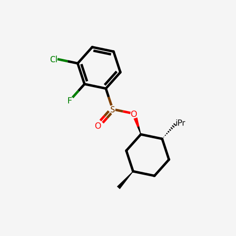 CC(C)[C@@H]1CC[C@@H](C)C[C@H]1OS(=O)c1cccc(Cl)c1F